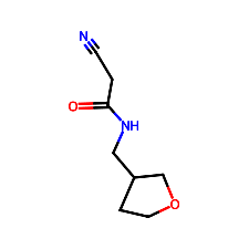 N#CCC(=O)NCC1CCOC1